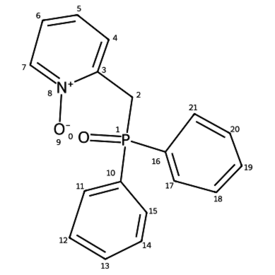 O=P(Cc1cccc[n+]1[O-])(c1ccccc1)c1ccccc1